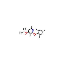 CCC(CC)Oc1cc(C)nc(Oc2c(C)cc(C)cc2C)c1C